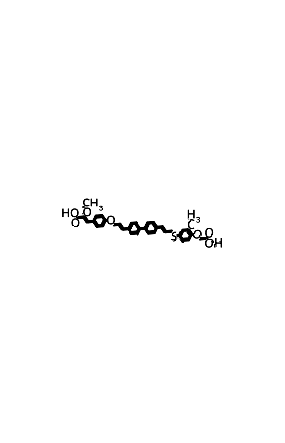 CCOC(Cc1ccc(OCC=Cc2ccc(-c3ccc(C=CCSc4ccc(OCC(=O)O)c(C)c4)cc3)cc2)cc1)C(=O)O